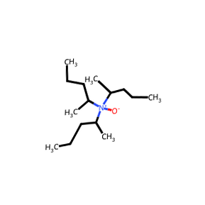 CCCC(C)[N+]([O-])(C(C)CCC)C(C)CCC